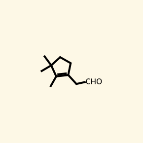 CC1=C(CC=O)CCC1(C)C